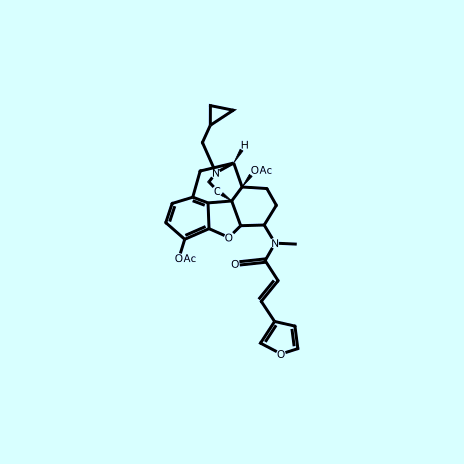 CC(=O)Oc1ccc2c3c1OC1C(N(C)C(=O)/C=C/c4ccoc4)CC[C@@]4(OC(C)=O)[C@@H](C2)N(CC2CC2)CC[C@]314